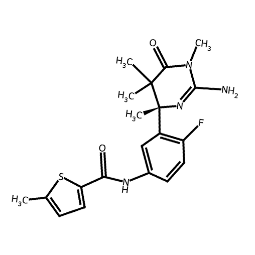 Cc1ccc(C(=O)Nc2ccc(F)c([C@@]3(C)N=C(N)N(C)C(=O)C3(C)C)c2)s1